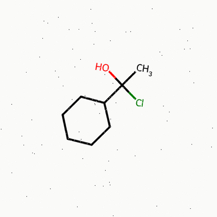 CC(O)(Cl)C1CCCCC1